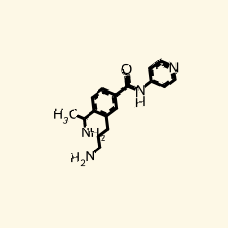 CC(N)c1ccc(C(=O)Nc2ccncc2)cc1CCCN